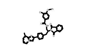 Cc1cccn2cc(-c3ccc(CC(CNC(=O)c4ccc(OC(C)C)c(Cl)c4)N4C(=O)c5ccccc5C4=O)cc3)nc12